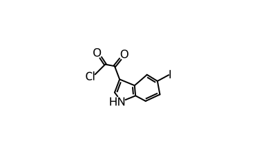 O=C(Cl)C(=O)c1c[nH]c2ccc(I)cc12